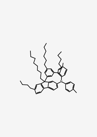 CCCCCCCCC1(c2cc(CCCCCC)cc(CCCCCC)c2)c2cc(CCCC)ccc2-c2ccc(N(c3ccc(C)cc3)c3ccc(C)cc3)cc21